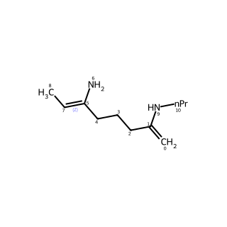 C=C(CCC/C(N)=C/C)NCCC